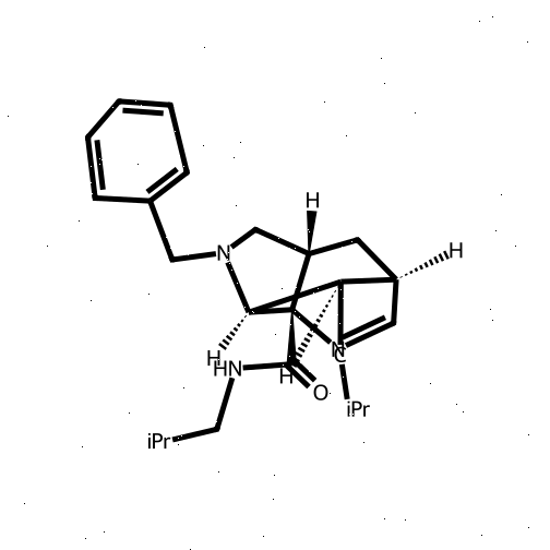 CC(C)CNC(=O)[C@]12N=C[C@@H]3C[C@H]1CN(Cc1ccccc1)[C@H]2[C@@H]3CC(C)C